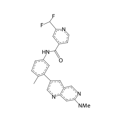 CNc1cc2ncc(-c3cc(NC(=O)c4ccnc(C(F)F)c4)ccc3C)cc2cn1